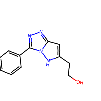 OCCc1cc2nnc(-c3ccccc3)n2[nH]1